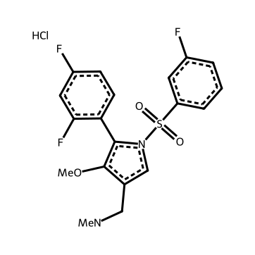 CNCc1cn(S(=O)(=O)c2cccc(F)c2)c(-c2ccc(F)cc2F)c1OC.Cl